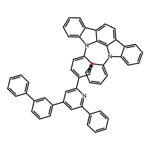 c1ccc(-c2cccc(-c3cc(-c4ccccc4)nc(-c4ccc(-n5c6ccccc6c6ccc7c8ccccc8n(-c8ccccc8)c7c65)cc4)c3)c2)cc1